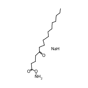 CCCCCCCCCCCC(=O)CCCC(=O)ON.[NaH]